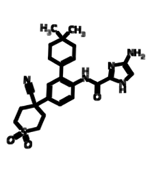 CC1(C)CC=C(c2cc(C3(C#N)CCS(=O)(=O)CC3)ccc2NC(=O)c2nc(N)c[nH]2)CC1